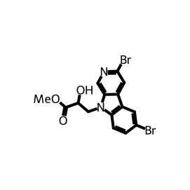 COC(=O)C(O)Cn1c2ccc(Br)cc2c2cc(Br)ncc21